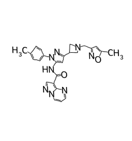 Cc1ccc(-n2nc(C3CN(Cc4cc(C)on4)C3)cc2NC(=O)c2cnn3cccnc23)cc1